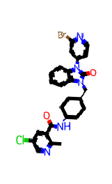 Cc1ncc(Cl)cc1C(=O)N[C@H]1CC[C@H](Cn2c(=O)n(-c3ccnc(Br)c3)c3ccccc32)CC1